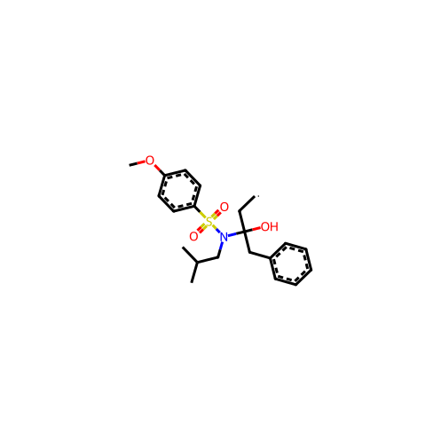 [CH2]CC(O)(Cc1ccccc1)N(CC(C)C)S(=O)(=O)c1ccc(OC)cc1